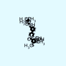 CSc1cc(C(=O)N2CCC(c3cccc(CNC(=O)OC(C)(C)C)c3)CC2)cc([Si](C)(C)O)c1